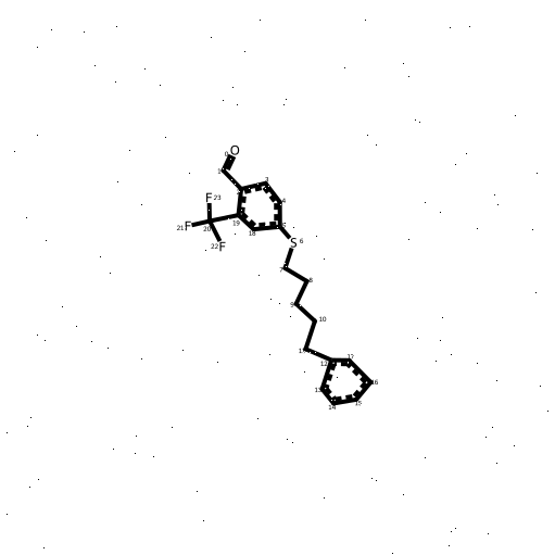 O=Cc1ccc(SCCCCCc2ccccc2)cc1C(F)(F)F